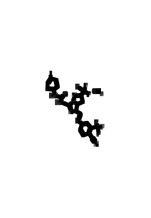 N#Cc1ccc(N=CC2N=C(NC(=O)Nc3ccc(I)cc3)N3N=C(C(F)(F)F)CC23)cc1C(F)(F)F.O